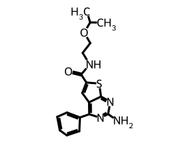 CC(C)OCCNC(=O)c1cc2c(-c3ccccc3)nc(N)nc2s1